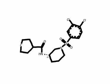 O=C(N[C@H]1CCCN(S(=O)(=O)c2ccc(Cl)c(Cl)c2)C1)C1CCCCC1